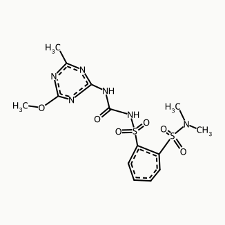 COc1nc(C)nc(NC(=O)NS(=O)(=O)c2ccccc2S(=O)(=O)N(C)C)n1